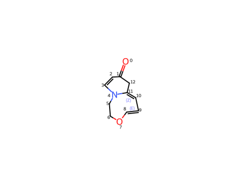 O=C1C=CN2CCO/C=C/C=C\2C1